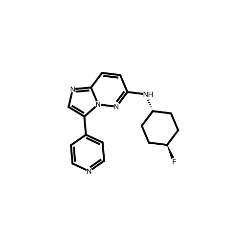 F[C@H]1CC[C@H](Nc2ccc3ncc(-c4ccncc4)n3n2)CC1